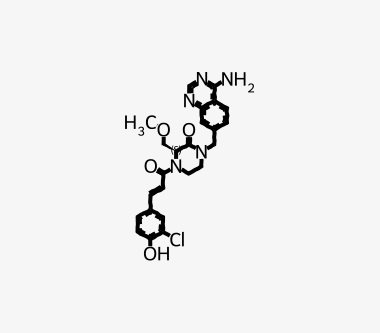 COC[C@H]1C(=O)N(Cc2ccc3c(N)ncnc3c2)CCN1C(=O)C=Cc1ccc(O)c(Cl)c1